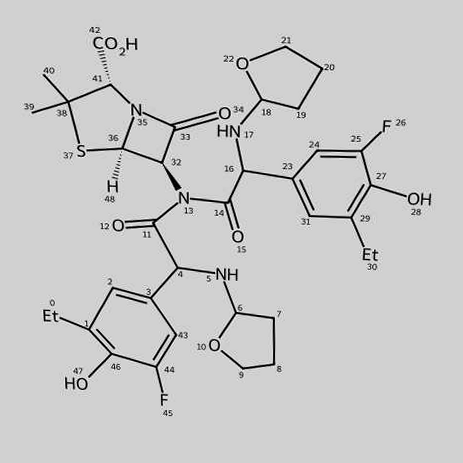 CCc1cc(C(NC2CCCO2)C(=O)N(C(=O)C(NC2CCCO2)c2cc(F)c(O)c(CC)c2)[C@@H]2C(=O)N3[C@@H]2SC(C)(C)[C@@H]3C(=O)O)cc(F)c1O